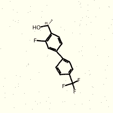 C[C@@H](O)c1ccc(-c2ccc(C(F)(F)F)cc2)cc1F